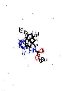 CCC1=C[C@@H]2[C@H](C1)C[C@]2(CNC(=O)OC(C)(C)C)Cc1nnn[nH]1